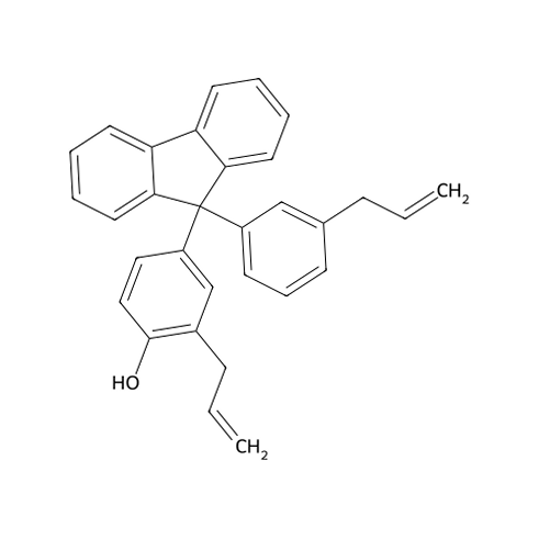 C=CCc1cccc(C2(c3ccc(O)c(CC=C)c3)c3ccccc3-c3ccccc32)c1